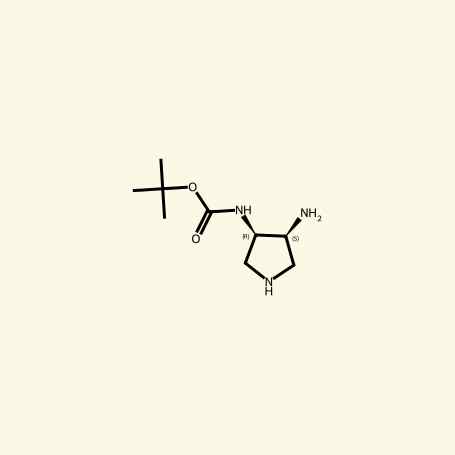 CC(C)(C)OC(=O)N[C@@H]1CNC[C@@H]1N